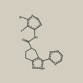 O=C(Nc1ccnc(Br)c1F)N1CCc2n[nH]c(-c3ncccn3)c2C1